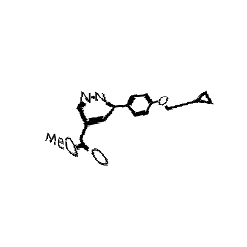 COC(=O)c1cnnc(-c2ccc(OCC3CC3)cc2)c1